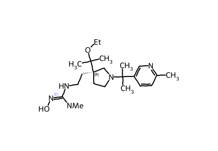 CCOC(C)(C)[C@]1(CCN/C(=N/O)NC)CCN(C(C)(C)c2ccc(C)nc2)C1